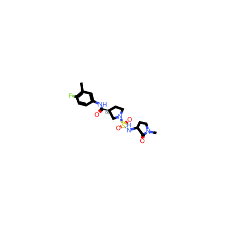 Cc1cc(NC(=O)[C@H]2CCN(S(=O)(=O)NC3CCN(C)C3=O)C2)ccc1F